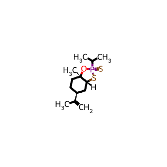 C=C(C)[C@H]1CC[C@@]2(C)OP(=S)(C(C)C)S[C@@H]2C1